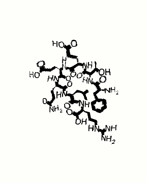 CC(C)C[C@H](NC(=O)[C@H](CCC(N)=O)NC(=O)[C@H](CCC(=O)O)NC(=O)[C@H](CCC(=O)O)NC(=O)[C@@H](NC(=O)[C@@H](N)Cc1ccccc1)[C@@H](C)O)C(=O)N[C@@H](CCCNC(=N)N)C(=O)O